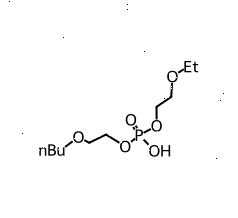 CCCCOCCOP(=O)(O)OCCOCC